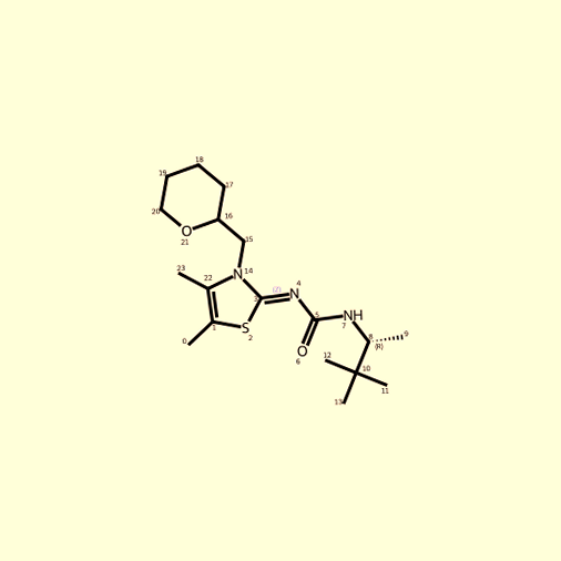 Cc1s/c(=N\C(=O)N[C@H](C)C(C)(C)C)n(CC2CCCCO2)c1C